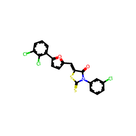 O=C1/C(=C/c2ccc(-c3cccc(Cl)c3Cl)o2)SC(=S)N1c1cccc(Cl)c1